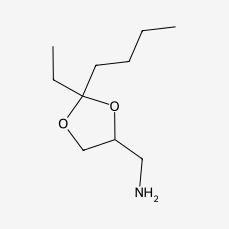 CCCCC1(CC)OCC(CN)O1